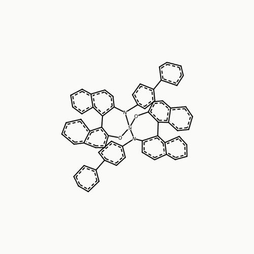 c1ccc(-c2ccc(N3c4ccc5ccccc5c4-c4c(ccc5ccccc45)O[Si]34Oc3ccc5ccccc5c3-c3c(ccc5ccccc35)N4c3ccc(-c4ccccc4)cc3)cc2)cc1